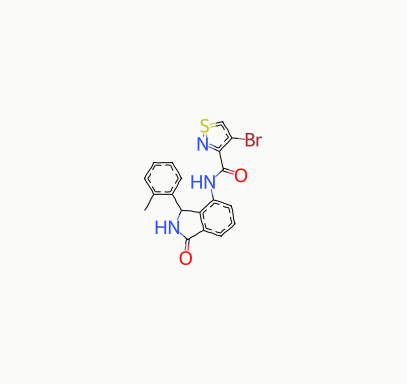 Cc1ccccc1C1NC(=O)c2cccc(NC(=O)c3nscc3Br)c21